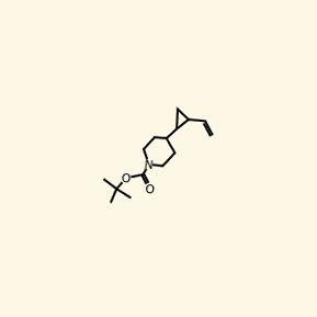 C=CC1CC1C1CCN(C(=O)OC(C)(C)C)CC1